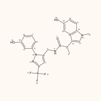 CC(C(=O)NCc1cc(C(F)(F)F)nn1-c1cccc(O)c1)c1cn(C)c2ccc(O)cc12